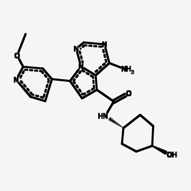 COc1cc(-c2cc(C(=O)N[C@H]3CC[C@H](O)CC3)c3c(N)ncnn23)ccn1